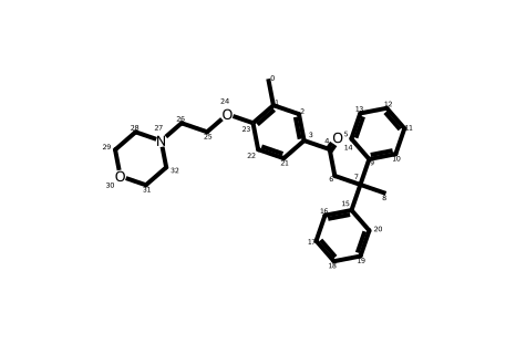 Cc1cc(C(=O)CC(C)(c2ccccc2)c2ccccc2)ccc1OCCN1CCOCC1